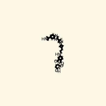 O=C1CCC(N2C(=O)c3ccc(NCCCC4CC(n5cc(-c6cnc7ccc(C8CNC8)cc7n6)cn5)C4)cc3C2=O)C(=O)N1